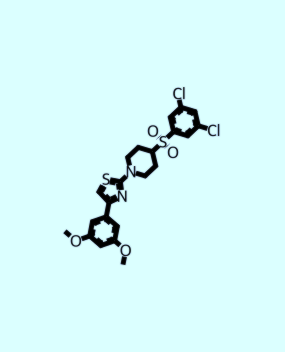 COc1cc(OC)cc(-c2csc(N3CCC(S(=O)(=O)c4cc(Cl)cc(Cl)c4)CC3)n2)c1